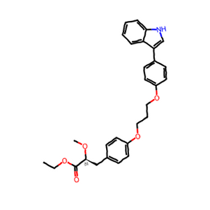 CCOC(=O)[C@H](Cc1ccc(OCCCOc2ccc(-c3c[nH]c4ccccc34)cc2)cc1)OC